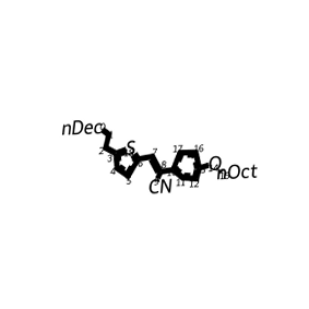 CCCCCCCCCCCCc1ccc(/C=C(\C#N)c2ccc(OCCCCCCCC)cc2)s1